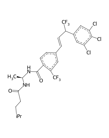 CC(C)CCC(=O)N[C@@H](C)NC(=O)c1ccc(/C=C/C(c2cc(Cl)c(Cl)c(Cl)c2)C(F)(F)F)cc1C(F)(F)F